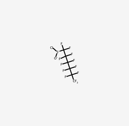 [O-][S+](Cl)C(F)(F)C(F)(F)C(F)(F)C(F)(F)C(F)(F)C(F)(F)F